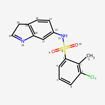 Cc1c(Cl)cccc1S(=O)(=O)Nc1ccc2c(c1)N=CC2